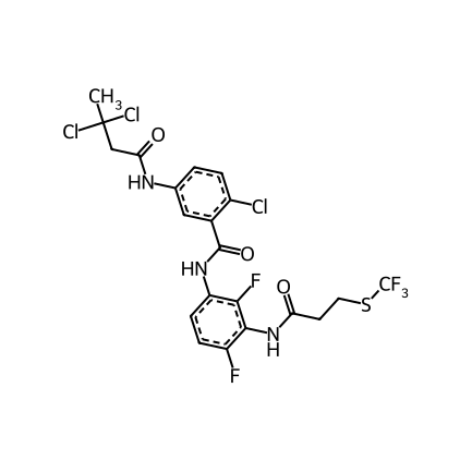 CC(Cl)(Cl)CC(=O)Nc1ccc(Cl)c(C(=O)Nc2ccc(F)c(NC(=O)CCSC(F)(F)F)c2F)c1